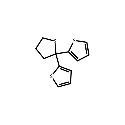 c1csc(C2(c3cccs3)CCCS2)c1